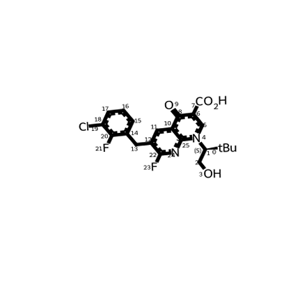 CC(C)(C)[C@@H](CO)n1cc(C(=O)O)c(=O)c2cc(Cc3cccc(Cl)c3F)c(F)nc21